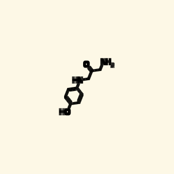 NCC(=O)CNc1ccc(O)cc1